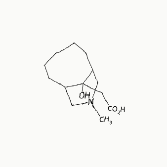 CN1CC2CCCCCC(C1)C2(O)CC(=O)O